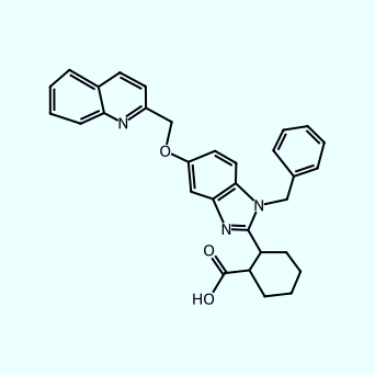 O=C(O)C1CCCCC1c1nc2cc(OCc3ccc4ccccc4n3)ccc2n1Cc1ccccc1